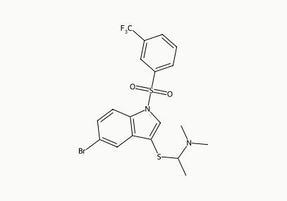 CC(Sc1cn(S(=O)(=O)c2cccc(C(F)(F)F)c2)c2ccc(Br)cc12)N(C)C